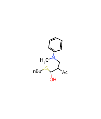 CCCCSC(O)C(CN(C)c1ccccc1)C(C)=O